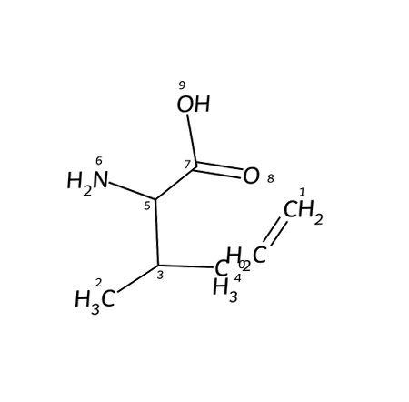 C=C.CC(C)C(N)C(=O)O